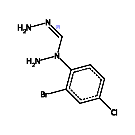 N/N=C\N(N)c1ccc(Cl)cc1Br